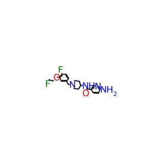 Nc1ccc(C(=O)NC2CCN(Cc3ccc(F)c(OCCF)c3)CC2)cn1